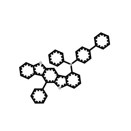 c1ccc(-c2ccc(N(c3ccccc3)c3cccc4oc5c(-c6ccccc6)c6c(cc5c34)oc3ccccc36)cc2)cc1